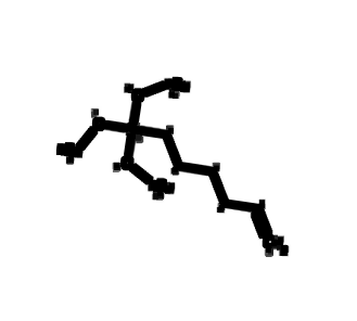 C=CCCCC[Si](OCCCC)(OCCCC)OCCCC